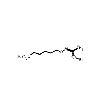 CCOC(=O)CCCCCON=C(C)OCC